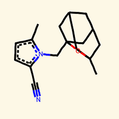 Cc1ccc(C#N)n1CC12CC3CC(CC(C)(C3)O1)C2